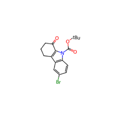 CC(C)(C)OC(=O)n1c2c(c3cc(Br)ccc31)CCCC2=O